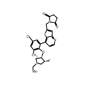 Cc1cc(Cl)cc(-c2ccnc3cc(CN4C(=O)CCC4=O)sc23)c1O[C@@H]1CN(CC(C)(C)C)C[C@@H]1F